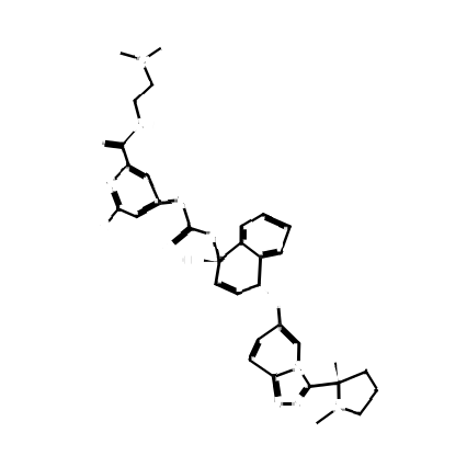 CN(C)CCNC(=O)c1cc(NC(=O)N[C@@]2(C=O)C=C[C@@H](Oc3ccc4nnc([C@]5(C)CCCN5C)n4c3)c3ccccc32)cc(C(C)(C)C)n1